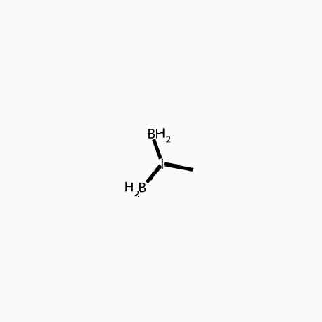 BI(B)C